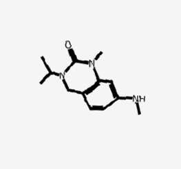 CNc1ccc2c(c1)N(C)C(=O)N(C(C)C)C2